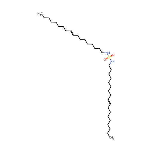 CCCCCCCCC=CCCCCCCCCNS(=O)(=O)NCCCCCCCCC=CCCCCCCCC